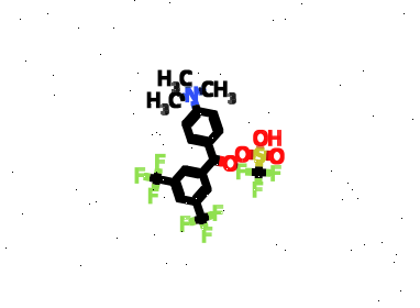 C[N+](C)(C)c1ccc(C(=O)c2cc(C(F)(F)F)cc(C(F)(F)F)c2)cc1.O=S(=O)(O)C(F)(F)F